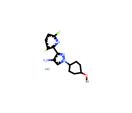 CCOC1CCC(n2cc(N)c(-c3nc(F)ccc3F)n2)CC1.Cl